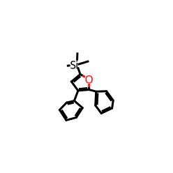 C[Si](C)(C)c1cc(-c2ccccc2)c(-c2ccccc2)o1